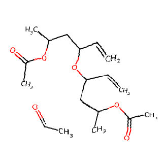 C=CC(CC(C)OC(C)=O)OC(C=C)CC(C)OC(C)=O.CC=O